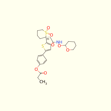 CCC(=O)Oc1ccc(-c2ccc([C@@]3(CC(=O)NOC4CCCCO4)CCCCS3(=O)=O)s2)cc1